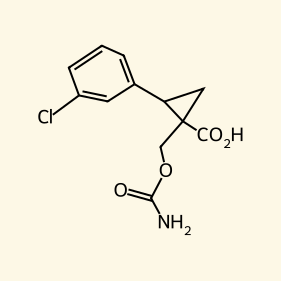 NC(=O)OCC1(C(=O)O)CC1c1cccc(Cl)c1